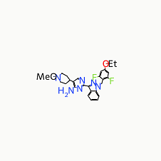 CCOc1cc(F)c(Cn2nc(-c3ncc(C4CCN(OC)CC4)c(N)n3)c3ccccc32)c(F)c1